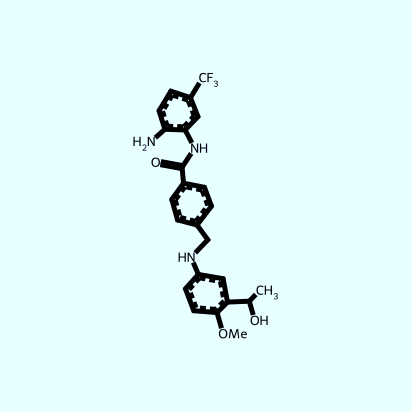 COc1ccc(NCc2ccc(C(=O)Nc3cc(C(F)(F)F)ccc3N)cc2)cc1C(C)O